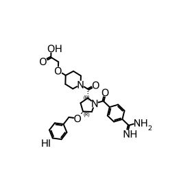 I.N=C(N)c1ccc(C(=O)N2C[C@H](OCc3ccccc3)C[C@@H]2C(=O)N2CCC(OCC(=O)O)CC2)cc1